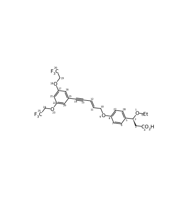 CCO[C@@H](CC(=O)O)c1ccc(OC/C=C/C#Cc2cc(OCC(F)(F)F)cc(OCC(F)(F)F)c2)cc1